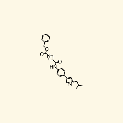 CC(C)Cn1cc(-c2ccc(NC(=O)C3CN(C(=O)OCc4ccccc4)C3)cc2)cn1